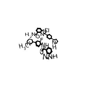 CN1CCCC(c2ccc(NC(=O)c3cccc4[nH]cnc34)c(F)c2)C1.NC(=O)c1cccc2c1nc(-c1ccc(C3CCCN3)cc1)n2Cl